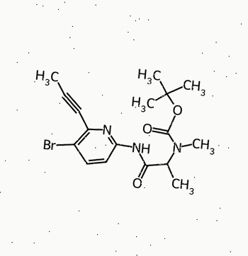 CC#Cc1nc(NC(=O)C(C)N(C)C(=O)OC(C)(C)C)ccc1Br